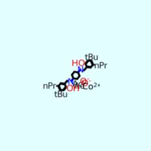 CC(=O)[O-].CC(=O)[O-].CCCc1cc(C=NC2CCC(N=Cc3cc(CCC)cc(C(C)(C)C)c3O)CC2)c(O)c(C(C)(C)C)c1.[Co+2]